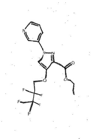 CCOC(=O)c1nn(-c2cccnc2)cc1OCC(F)(F)C(F)(F)F